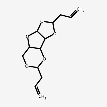 C=CCC1OCC2OC3OC(CC=C)OC3C2O1